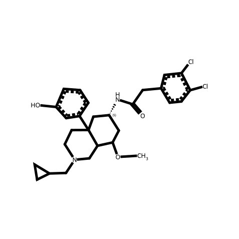 COC1C[C@@H](NC(=O)Cc2ccc(Cl)c(Cl)c2)CC2(c3cccc(O)c3)CCN(CC3CC3)CC12